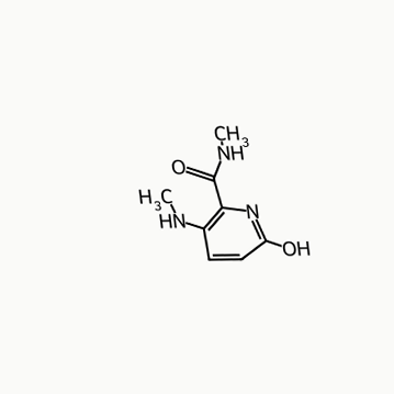 CNC(=O)c1nc(O)ccc1NC